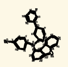 Brc1ccc(N(c2cccc(-c3ccccc3)c2)c2cccc3oc4ccccc4c23)cc1